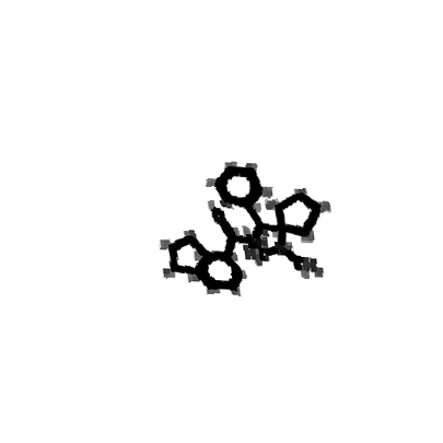 CN(C)C1(C(NC(=O)c2cccc3c2CCC3)c2ccccc2)CCCC1